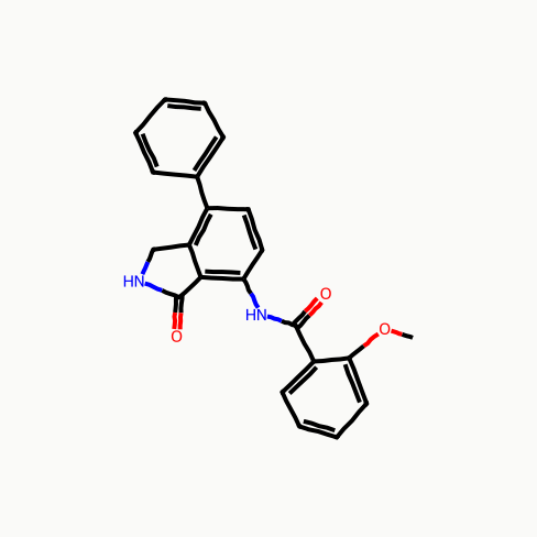 COc1ccccc1C(=O)Nc1ccc(-c2ccccc2)c2c1C(=O)NC2